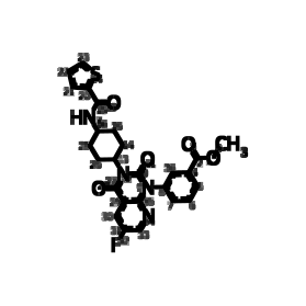 COC(=O)c1cccc(-n2c(=O)n(C3CCC(NC(=O)c4cccs4)CC3)c(=O)c3cc(F)cnc32)c1